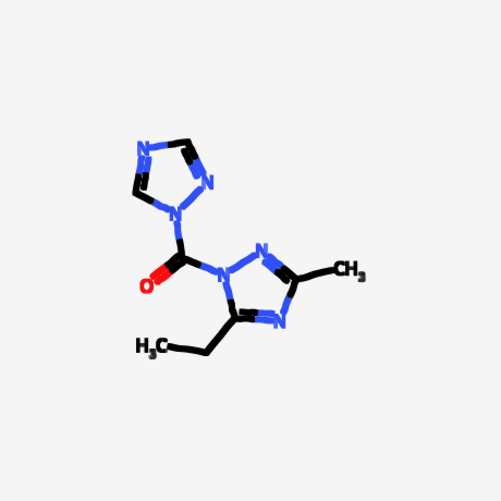 CCc1nc(C)nn1C(=O)n1cncn1